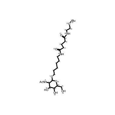 CC(=O)NC1C(OCCCCCCNC(=O)CCCC(=O)NCCOC(C)(C)C)OC(CO)C(O)C1O